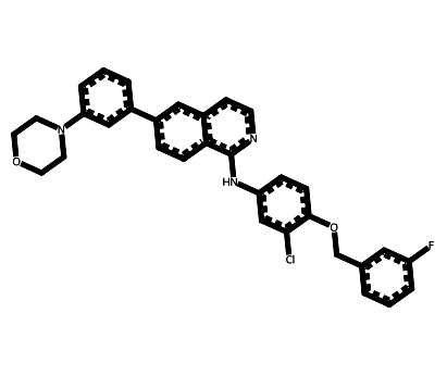 Fc1cccc(COc2ccc(Nc3nccc4cc(-c5cccc(N6CCOCC6)c5)ccc34)cc2Cl)c1